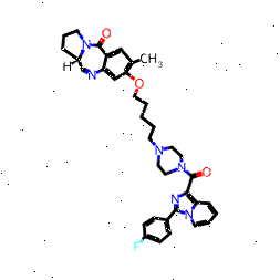 Cc1cc2c(cc1OCCCCCN1CCN(C(=O)c3nc(-c4ccc(F)cc4)n4ccccc34)CC1)N=C[C@@H]1CCCN1C2=O